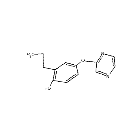 CCCc1cc(Oc2cnccn2)ccc1O